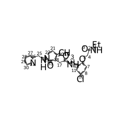 CCNC(=O)COc1ccc(Cl)cc1CNC(=O)Cc1c(C)ccn(NCc2ccccn2)c1=O